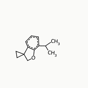 CC(C)c1cccc2c1OCC21CC1